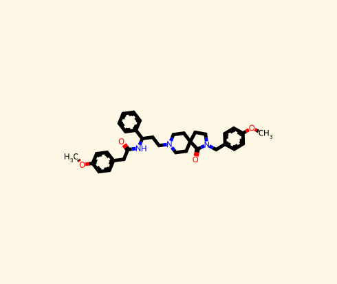 COc1ccc(CC(=O)NC(CCN2CCC3(CC2)CCN(Cc2ccc(OC)cc2)C3=O)c2ccccc2)cc1